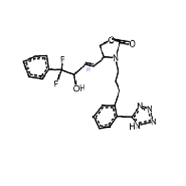 O=C1OCC(/C=C/C(O)C(F)(F)c2ccccc2)N1CCCc1ccccc1-c1nnn[nH]1